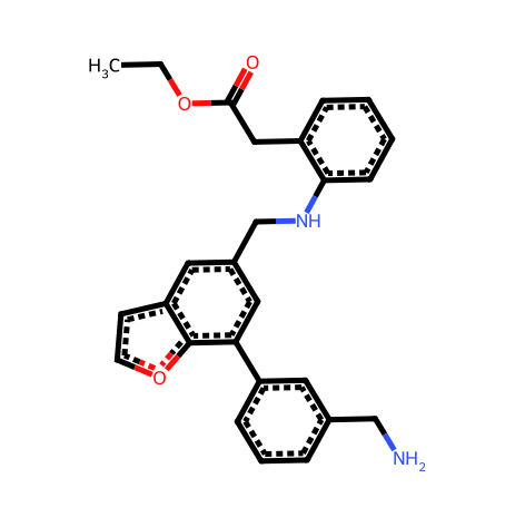 CCOC(=O)Cc1ccccc1NCc1cc(-c2cccc(CN)c2)c2occc2c1